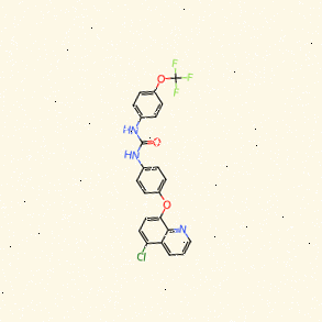 O=C(Nc1ccc(Oc2ccc(Cl)c3cccnc23)cc1)Nc1ccc(OC(F)(F)F)cc1